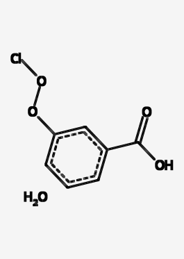 O.O=C(O)c1cccc(OOCl)c1